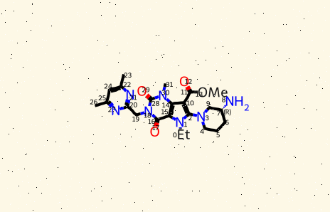 CCn1c(N2CCC[C@@H](N)C2)c(C(=O)OC)c2c1c(=O)n(Cc1nc(C)cc(C)n1)c(=O)n2C